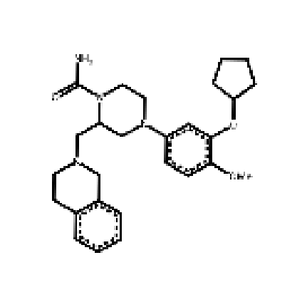 COc1ccc(N2CCN(C(N)=O)C(CN3CCc4ccccc4C3)C2)cc1OC1CCCC1